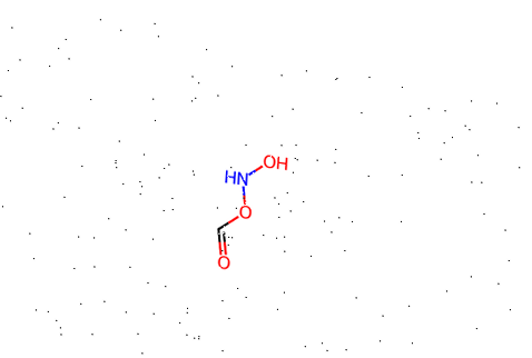 O=CONO